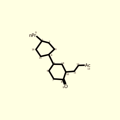 CCCC1CCC(C2CCC(=O)C(CCC(C)=O)C2)CC1